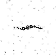 CCCCCCCCOc1ccc(B2OCC(C3CCC(CCCCC)CC3)CO2)cc1